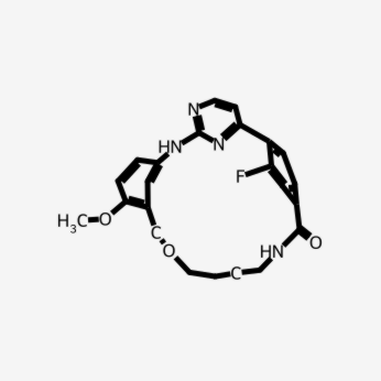 COc1ccc2cc1COCCCCNC(=O)c1ccc(c(F)c1)-c1ccnc(n1)N2